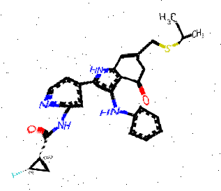 CC(C)SCC1CC(=O)c2c([nH]c(-c3ccnc(NC(=O)[C@@H]4C[C@@H]4F)c3)c2Nc2ccccc2)C1